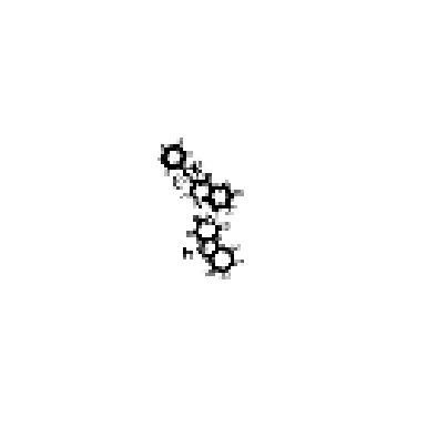 O=S(=O)(c1ccccc1)c1cnc2c(N3CCC4NC5CCCCC5C4C3)cccc2c1